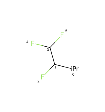 CC(C)C(F)C(F)F